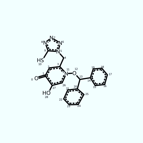 O=c1cc(Cn2nnnc2S)n(OC(c2ccccc2)c2ccccc2)cc1O